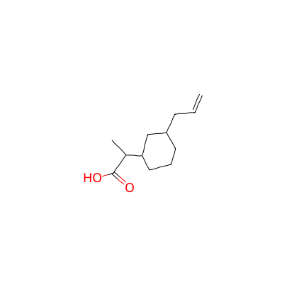 C=CCC1CCCC(C(C)C(=O)O)C1